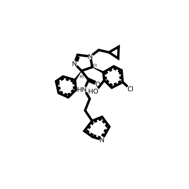 O=C(NCCc1ccncc1)[C@]1(c2ccccc2)N=CN(CC2CC2)[C@H]1c1ccc(Cl)cc1O